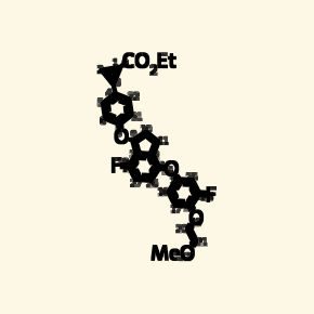 CCOC(=O)[C@H]1C[C@@H]1c1ccc(O[C@@H]2CCc3c(Oc4ccc(OCCOC)c(F)c4)ccc(F)c32)cc1